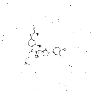 CN(C)CCCOc1ccc(OC(F)F)cc1N/C(=N/C#N)N1CCC(c2ccc(Cl)c(Cl)c2)=N1